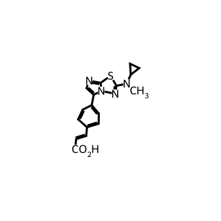 CN(c1nn2c(-c3ccc(/C=C/C(=O)O)cc3)cnc2s1)C1CC1